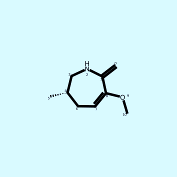 C=C1NC[C@@H](C)CC=C1OC